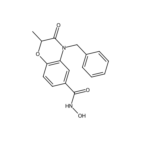 CC1Oc2ccc(C(=O)NO)cc2N(Cc2ccccc2)C1=O